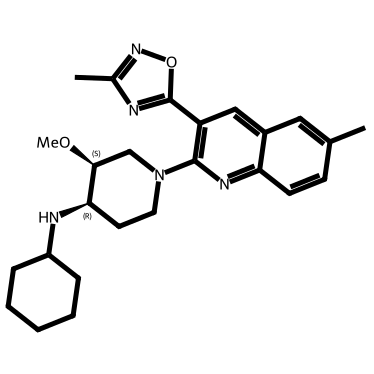 CO[C@H]1CN(c2nc3ccc(C)cc3cc2-c2nc(C)no2)CC[C@H]1NC1CCCCC1